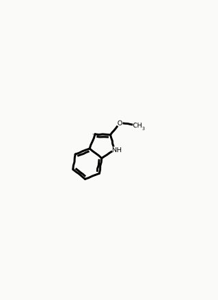 COc1[c]c2ccccc2[nH]1